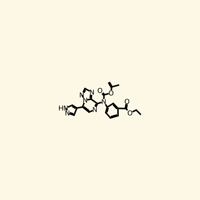 C=C(C)OC(=O)N(c1cccc(C(=O)OCC)c1)c1ncc(-c2cn[nH]c2)n2ncnc12